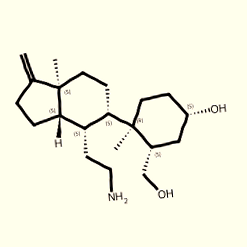 C=C1CC[C@H]2[C@@H](CCN)[C@@H]([C@@]3(C)CC[C@H](O)C[C@@H]3CO)CC[C@]12C